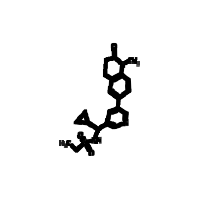 CCS(=O)(=O)NC(c1cncc(-c2ccc3c(c2)CCC(=O)N3C)c1)C1CC1